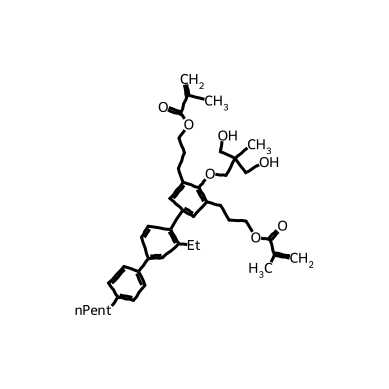 C=C(C)C(=O)OCCCc1cc(-c2ccc(-c3ccc(CCCCC)cc3)cc2CC)cc(CCCOC(=O)C(=C)C)c1OCC(C)(CO)CO